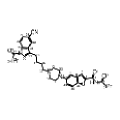 CC(C)C(=O)NC(=O)c1cc2cc(N3CCN(CCCCc4cn(C(=O)C(C)C)c5ccc(C#N)cc45)CC3)ccc2o1